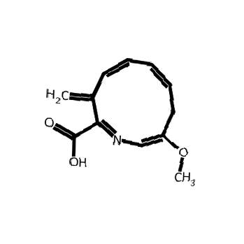 C=C1/C=C\C=C/C/C(OC)=C\N=C/1C(=O)O